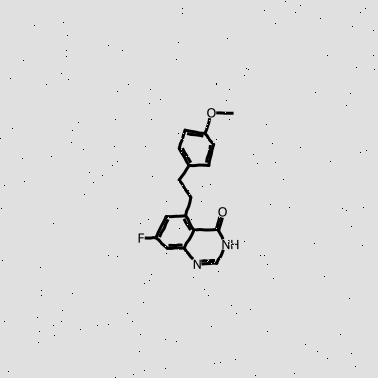 COc1ccc(CCc2cc(F)cc3nc[nH]c(=O)c23)cc1